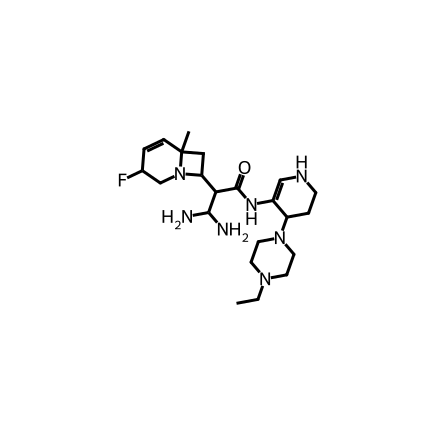 CCN1CCN(C2CCNC=C2NC(=O)C(C(N)N)C2CC3(C)C=CC(F)CN23)CC1